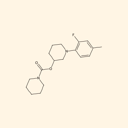 Cc1ccc(N2CCCC(OC(=O)N3CCCCC3)C2)c(F)c1